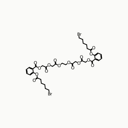 O=C(COC(=O)COC(=O)c1ccccc1OC(=O)CCCCCBr)OCCOC(=O)COC(=O)COC(=O)c1ccccc1OC(=O)CCCCCBr